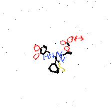 COc1ccc(CNc2nc(C(C)OCC(=O)O)nc3sc4c(c23)CCCC4)cc1OC